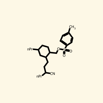 CCCC(C#N)CCC1CC(CCC)CCC1COS(=O)(=O)c1ccc(C)cc1